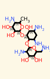 CC1O[C@@H](O[C@H]2C(O[C@H]3OC(CN)[C@@H](O)[C@H](O)C3N)C(N)CC(N)[C@H]2O)C(O)[C@@H](O)[C@@H]1N